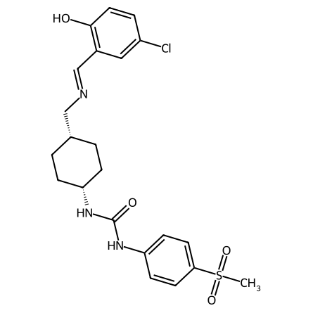 CS(=O)(=O)c1ccc(NC(=O)N[C@H]2CC[C@@H](CN=Cc3cc(Cl)ccc3O)CC2)cc1